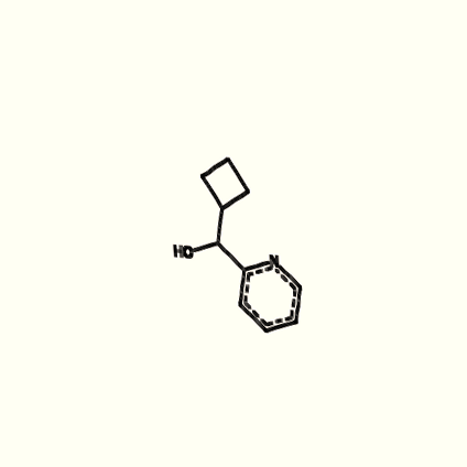 OC(c1ccccn1)C1CCC1